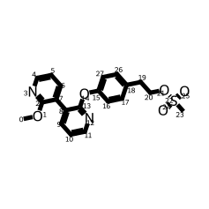 COc1ncccc1-c1cccnc1Oc1ccc(CCOS(C)(=O)=O)cc1